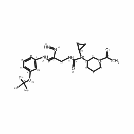 CC(=O)N1CCC[C@@H](N(C(=O)NC/C(=C/Nc2cccc(OC(F)(F)F)c2)N=N)C2CC2)C1